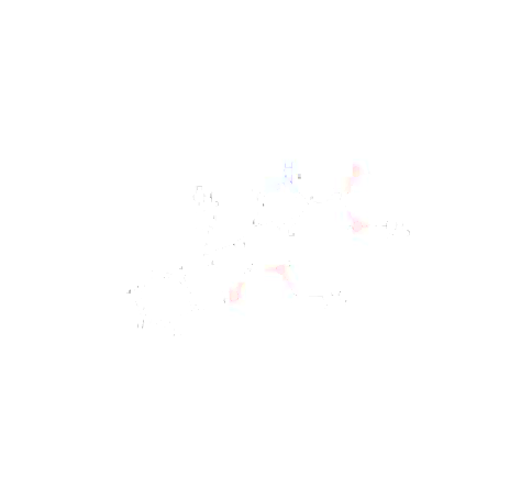 CCOC(=O)C1(c2c[nH]c(C(=O)OC)c2)C(c2ccccc2)[C@@H]1C